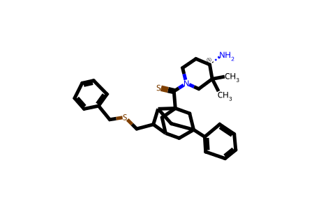 CC1(C)CN(C(=S)C23CC4CC(c5ccccc5)(CC2C4CSCc2ccccc2)C3)CC[C@@H]1N